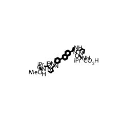 COC(=O)NC(C(=O)N1CCCC1c1nc2cc(-c3ccc4cc(-c5c[nH]c([C@@H]6CCCN6C(=O)[C@@H](NC(=O)O)C(C)C)n5)ccc4c3)ccc2[nH]1)C(C)C